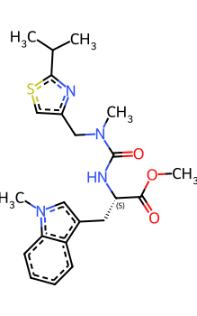 COC(=O)[C@H](Cc1cn(C)c2ccccc12)NC(=O)N(C)Cc1csc(C(C)C)n1